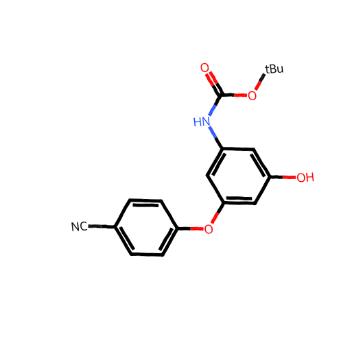 CC(C)(C)OC(=O)Nc1cc(O)cc(Oc2ccc(C#N)cc2)c1